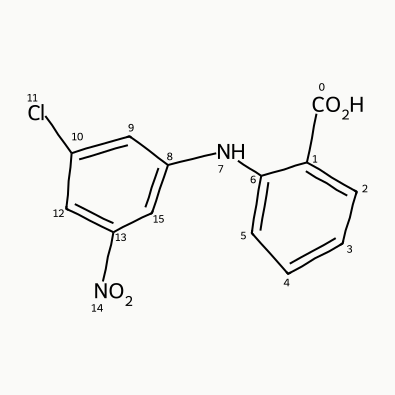 O=C(O)c1ccccc1Nc1cc(Cl)cc([N+](=O)[O-])c1